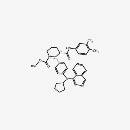 Cc1ccc(NC(=O)[C@H]2CCCN(C(=O)OC(C)(C)C)[C@H]2c2ccc(N(c3nncc4ccccc34)C3CCCC3)cc2)cc1C(F)(F)F